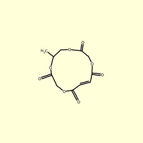 CC1COC(=O)COC(=O)/C=C/C(=O)OCC(=O)O1